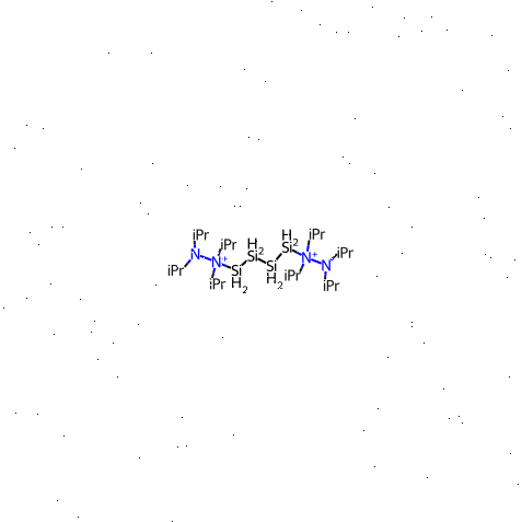 CC(C)N(C(C)C)[N+]([SiH2][SiH2][SiH2][SiH2][N+](C(C)C)(C(C)C)N(C(C)C)C(C)C)(C(C)C)C(C)C